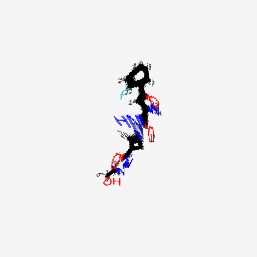 C[C@@H](O)c1nnc(C2CC(NC(=O)c3cc(-c4ccccc4F)on3)C2)o1